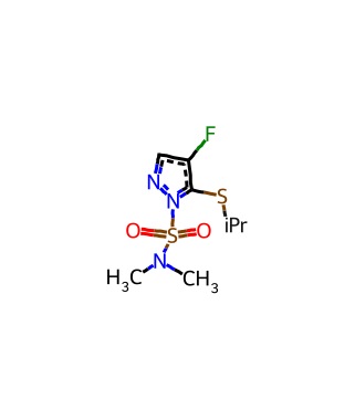 CC(C)Sc1c(F)cnn1S(=O)(=O)N(C)C